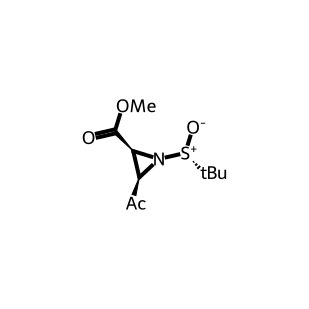 COC(=O)[C@@H]1[C@H](C(C)=O)N1[S@+]([O-])C(C)(C)C